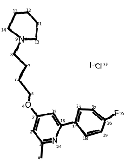 Cc1cc(OCCCCN2CCCCC2)cc(-c2ccc(F)cc2)n1.Cl